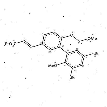 CCOC(=O)C=Cc1ccc(OCOC)c(-c2cc(C(C)(C)C)cc(C(C)(C)C)c2OC)c1